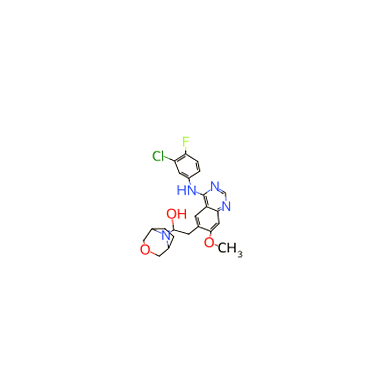 COc1cc2ncnc(Nc3ccc(F)c(Cl)c3)c2cc1CC(O)N1C2CCC1COC2